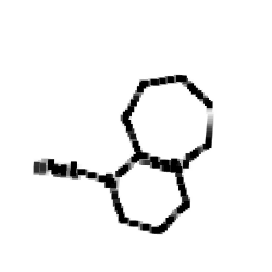 CCCCCN1CCC[N+]2=C1CCCCC2